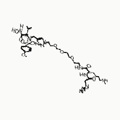 CNCCCC[C@H](NC(=O)CN=[N+]=[N-])C(=O)NCCOCCOCCOCCn1cc(CN([C@@H](C(=O)NO)C(C)C)S(=O)(=O)c2ccc(OC)cc2)nn1